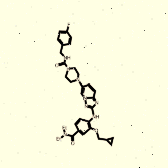 CCN(CC)C(=O)c1ccc(Nc2nc3ccc(N4CCN(C(=O)NCc5ccc(F)cc5)CC4)cn3n2)c(OCC2CC2)c1